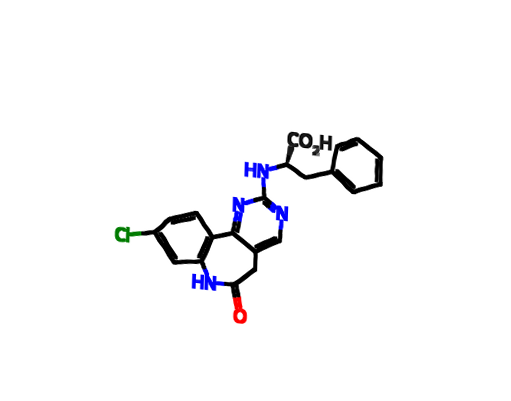 O=C1Cc2cnc(N[C@H](Cc3ccccc3)C(=O)O)nc2-c2ccc(Cl)cc2N1